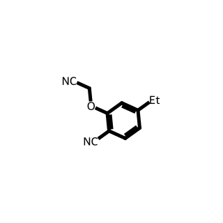 CCc1ccc(C#N)c(OCC#N)c1